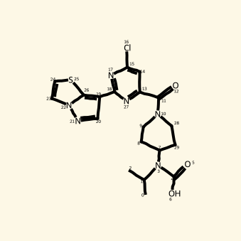 CC(C)N(C(=O)O)C1CCN(C(=O)c2cc(Cl)nc(-c3cnn4ccsc34)n2)CC1